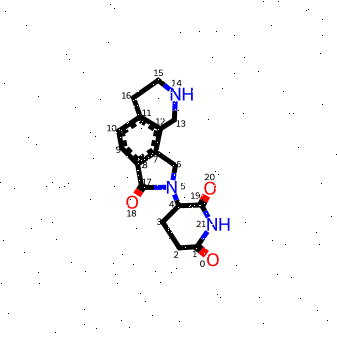 O=C1CCC(N2Cc3c(ccc4c3CNCC4)C2=O)C(=O)N1